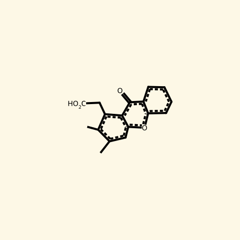 Cc1cc2oc3ccccc3c(=O)c2c(CC(=O)O)c1C